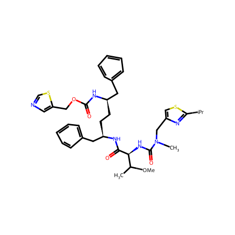 COC(C)[C@H](NC(=O)N(C)Cc1csc(C(C)C)n1)C(=O)N[C@H](CC[C@H](Cc1ccccc1)NC(=O)OCc1cncs1)Cc1ccccc1